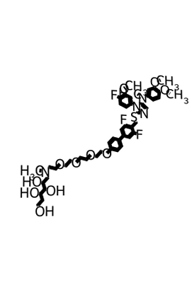 COc1cc(-n2c(N(C)c3ccc(OC)c(OC)c3)cnc2SCc2c(F)cc(-c3ccc(OCCOCCOCCOCCN(C)CC(O)C(O)C(O)CCO)cc3)cc2F)ccc1F